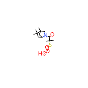 CC(C)(SOOO)C(=O)N1CC2(C)CC1CC2(C)C